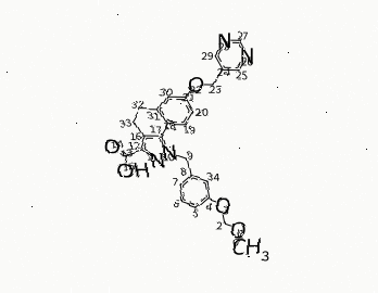 COCOc1cccc(Cn2nc(C(=O)O)c3c2-c2ccc(OCc4cncnc4)cc2CC3)c1